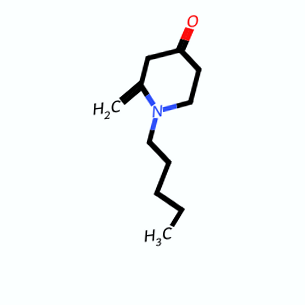 C=C1CC(=O)CCN1CCCCC